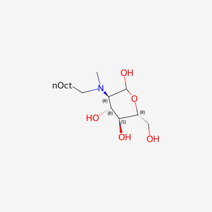 CCCCCCCCCN(C)[C@H]1C(O)O[C@H](CO)[C@@H](O)[C@@H]1O